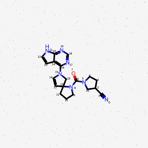 N#CC1CCN(C(=O)N2CCCC23C=CN(c2ncnc4[nH]ccc24)C3)C1